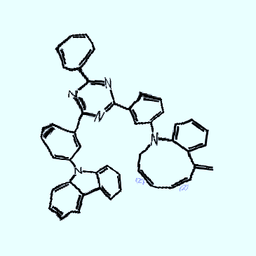 C=C1/C=C\C=C/CN(c2cccc(-c3nc(-c4ccccc4)nc(-c4cccc(-n5c6ccccc6c6ccccc65)c4)n3)c2)c2ccccc21